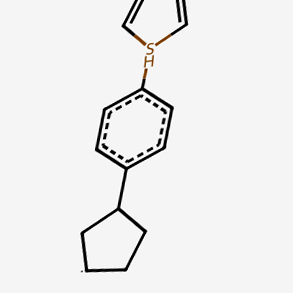 [CH]1CCC(c2ccc([SH]3C=CC=C3)cc2)C1